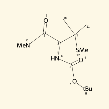 CNC(=O)[C@@H](NC(=O)OC(C)(C)C)C(C)(C)SC